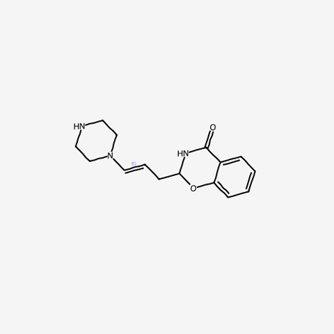 O=C1NC(C/C=C/N2CCNCC2)Oc2ccccc21